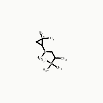 CC[C@]1(C)CC1N(C)CC(C)[Si](C)(C)C